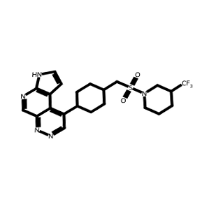 O=S(=O)(CC1CCC(c2cnnc3cnc4[nH]ccc4c23)CC1)N1CCCC(C(F)(F)F)C1